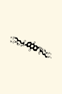 CN(C)C(CN)CCC(=O)Nc1ccc2c(c1)C(=O)c1ccc(NC(=O)CCC(CN)N(C)C)cc1C2=O